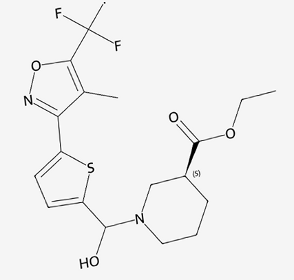 CCOC(=O)[C@H]1CCCN(C(O)c2ccc(-c3noc(C(F)(F)F)c3C)s2)C1